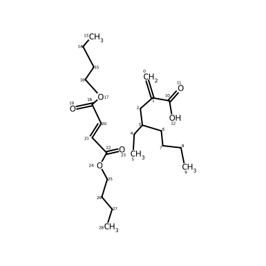 C=C(CC(CC)CCCC)C(=O)O.CCCCOC(=O)/C=C/C(=O)OCCCC